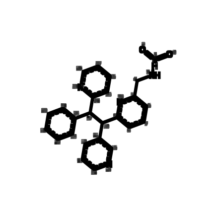 O=[SH](=O)NCc1cccc(C(c2cccnc2)C(c2ccccc2)c2ccccn2)n1